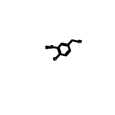 COc1cc(CC(C)C)ccc1Cl